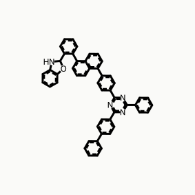 c1ccc(-c2ccc(-c3nc(-c4ccccc4)nc(-c4ccc(-c5cccc6c(-c7ccccc7C7Nc8ccccc8O7)cccc56)cc4)n3)cc2)cc1